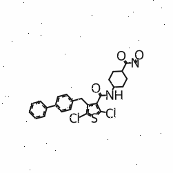 O=NC(=O)C1CCC(NC(=O)c2c(Cl)sc(Cl)c2Cc2ccc(-c3ccccc3)cc2)CC1